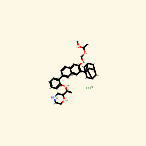 COC(C)OCOc1cc2ccc(-c3ccccc3OC(C)C3CNCCO3)cc2cc1C12CC3CC(CC(C3)C1)C2.Cl